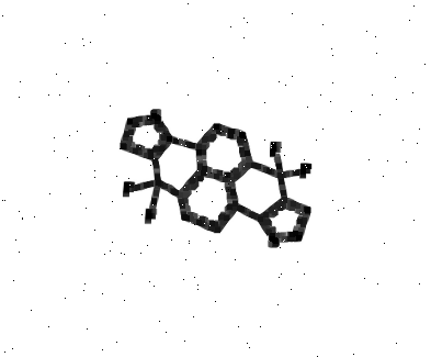 FC1(F)c2ccsc2-c2ccc3c4c(ccc1c24)-c1sccc1C3(F)F